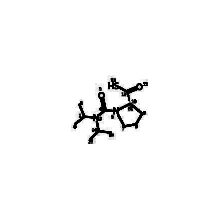 CC(C)N(C(=O)N1CCC[C@H]1C(=O)S)C(C)C